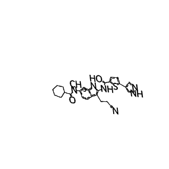 CN(C(=O)C1CCCCC1)c1ccc2c(CCC#N)c(NC(=O)c3ccc(-c4cn[nH]c4)s3)[nH]c2c1